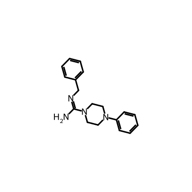 NC(=NCc1ccccc1)N1CCN(c2ccccc2)CC1